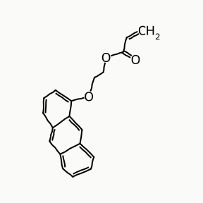 C=CC(=O)OCCOc1cccc2cc3ccccc3cc12